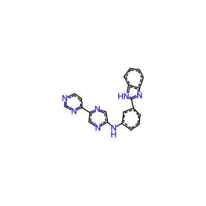 c1cc(Nc2cnc(-c3ccncn3)cn2)cc(-c2nc3ccccc3[nH]2)c1